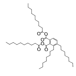 CCCCCCCCCC(=O)OC(=O)c1ccc(CCCCCCCC)c(CCCCCCCC)c1C(=O)OC(=O)CCCCCCCCC